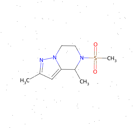 Cc1cc2n(n1)CCN(S(C)(=O)=O)C2C